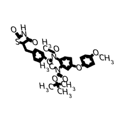 COc1ccc(Oc2ccc(N(Oc3ccc(CC4SC(=O)NC4=O)cc3)C(C)=O)c(N(C)C(=O)OC(C)(C)C)c2)cc1